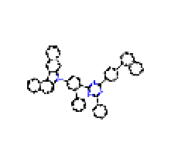 c1ccc(-c2nc(-c3ccc(-c4cccc5ccccc45)cc3)nc(-c3ccc(-n4c5cc6ccccc6cc5c5c6ccccc6ccc54)cc3-c3ccccc3)n2)cc1